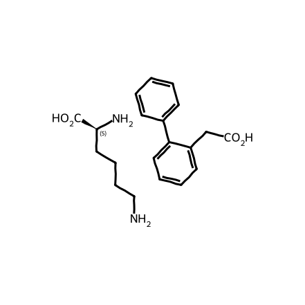 NCCCC[C@H](N)C(=O)O.O=C(O)Cc1ccccc1-c1ccccc1